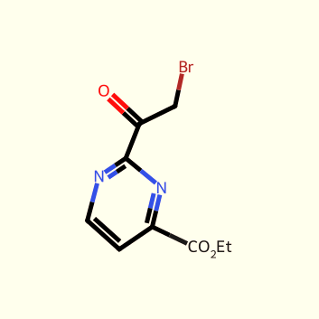 CCOC(=O)c1ccnc(C(=O)CBr)n1